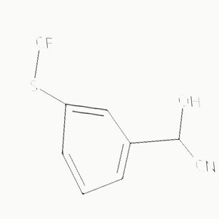 N#CC(O)c1cccc(SC(F)(F)F)c1